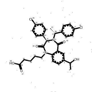 CC(O)c1ccc2c(c1)C(=O)N([C@H](C)c1ccc(Cl)cc1)[C@H](c1ccc(Cl)cc1)C(=O)N2CCCCC(=O)O